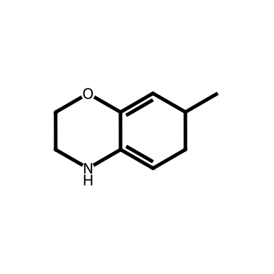 CC1C=C2OCCNC2=CC1